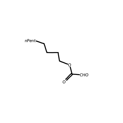 CCCCCCCCCOC(=O)C=O